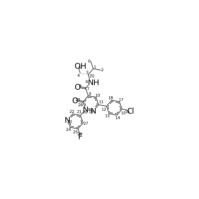 CC(C)[C@@H](CO)NC(=O)c1cc(-c2ccc(Cl)cc2)nn(-c2cncc(F)c2)c1=O